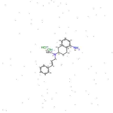 CCCN(C/C=C/c1ccccc1)C1CCc2c(N)cccc2C1.Cl.Cl